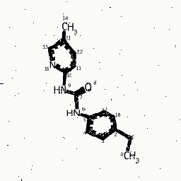 CCc1ccc(NC(=O)Nc2ccc(C)cn2)cc1